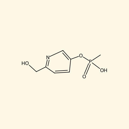 CP(=O)(O)Oc1ccc(CO)nc1